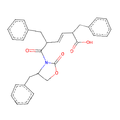 O=C(O)C(C=CC(Cc1ccccc1)C(=O)N1C(=O)OCC1Cc1ccccc1)Cc1ccccc1